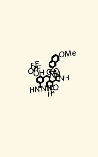 COc1ccc2ccc(S(=O)(=O)NC(Cc3cccc(C(=N)N)c3)c3cc[nH]c(=O)c3C3CCNC3)cc2c1.O=C(O)C(F)(F)F